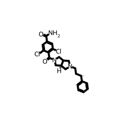 NC(=O)c1cc(Cl)c(C(=O)N2CC3CN(CC[CH]c4ccccc4)C[C@H]3C2)c(Cl)c1